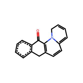 O=C1C2=C(C=CC3=CC=CCN32)Cc2ccccc21